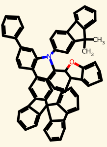 CC1(C)c2ccccc2-c2ccc(N(C3=CC=CC4c5ccccc5OC34)c3cc(-c4ccccc4)ccc3-c3ccc4c(c3)-c3ccccc3C43c4ccccc4-c4ccccc43)cc21